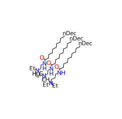 CCCCCCCCCCCCCCCCCCCC(=O)NCCCN(CC)CC.CCCCCCCCCCCCCCCCCCCC(=O)NCCN(C)C.CCCCCCCCCCCCCCCCCCCC(=O)NCCN(CC)CC